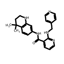 CC1(C)CCNc2cc(NC(=O)c3cccnc3NCc3ccncc3)ccc21